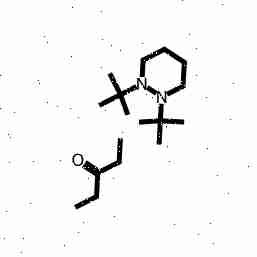 CC(C)(C)N1CCCCN1C(C)(C)C.CCC(=O)CC